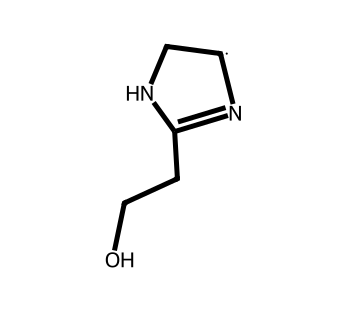 OCCC1=N[CH]CN1